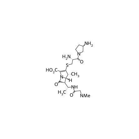 CNCC(=O)N[C@H](C)[C@H]1C(=O)N2C(C(=O)O)=C(SC[C@H](N)C(=O)N3CC[C@@H](N)C3)[C@H](C)[C@H]12